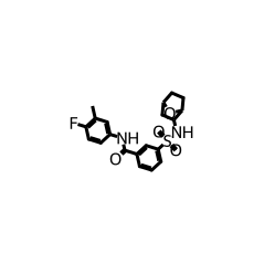 Cc1cc(NC(=O)c2cccc(S(=O)(=O)NC3CC4CCC3O4)c2)ccc1F